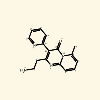 Cc1cccc2nc(CCN)c(-c3ccccn3)c(=O)n12